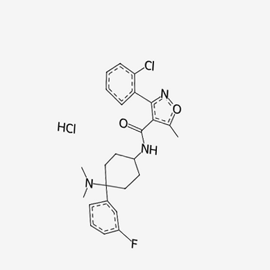 Cc1onc(-c2ccccc2Cl)c1C(=O)NC1CCC(c2cccc(F)c2)(N(C)C)CC1.Cl